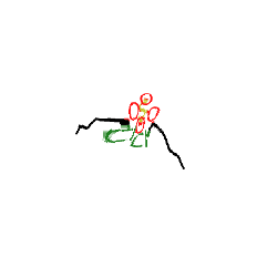 CCCCC(Cl)OS(=O)(=O)OC(Cl)CCCC